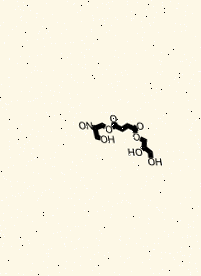 O=NC(CO)COC(=O)CCC(=O)OCC(O)CO